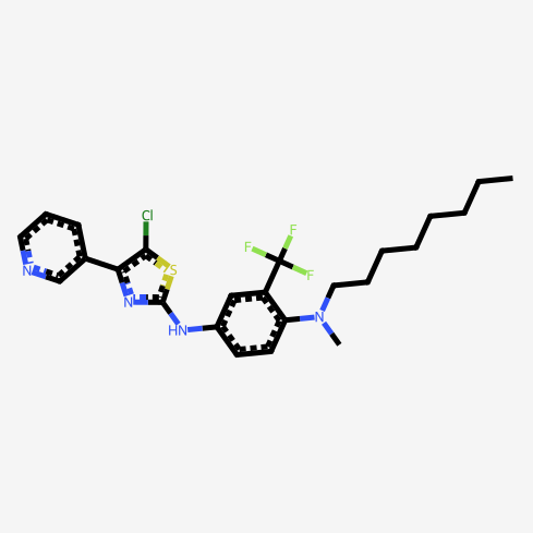 CCCCCCCCN(C)c1ccc(Nc2nc(-c3cccnc3)c(Cl)s2)cc1C(F)(F)F